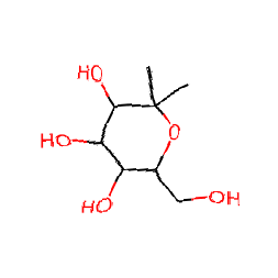 CC1(C)OC(CO)C(O)C(O)C1O